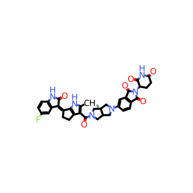 Cc1[nH]c2c(c1C(=O)N1CC3CN(c4ccc5c(c4)C(=O)N(C4CCC(=O)NC4=O)C5=O)CC3C1)CC/C2=C1/C(=O)Nc2ccc(F)cc21